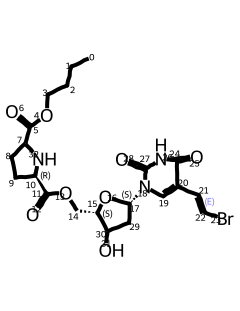 CCCCOC(=O)C1CC[C@H](C(=O)OC[C@@H]2O[C@H](n3cc(/C=C/Br)c(=O)[nH]c3=O)CC2O)N1